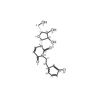 O=c1ccn([C@@H]2O[C@H](CO)C(O)C2O)c(=O)n1CCc1cccc(Cl)c1